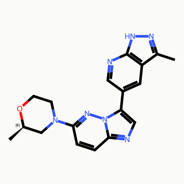 Cc1n[nH]c2ncc(-c3cnc4ccc(N5CCO[C@H](C)C5)nn34)cc12